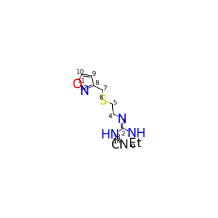 CCN/C(=N/CCSCc1ccon1)NC#N